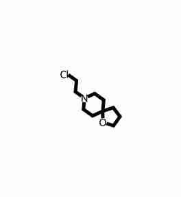 ClCCN1CCC2(CCCO2)CC1